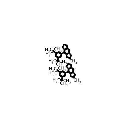 CC1=Cc2c(cc3c(c2-c2cc(C(C)(C)C)cc(C(C)(C)C)c2)CCC3)C1.CC1=Cc2cc3c(c(-c4cc(C(C)(C)C)cc(C(C)(C)C)c4)c2C1)CCC3